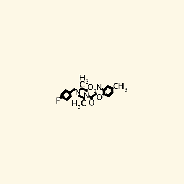 Cc1ccc(OCC(=O)N2CC(C)N(Cc3ccc(F)cc3)CC2C)c([N+](=O)[O-])c1